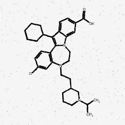 CC(C)N1CCCC(CCN2CCn3c(c(C4CCCCC4)c4ccc(C(=O)O)cc43)-c3ccc(Cl)cc32)C1